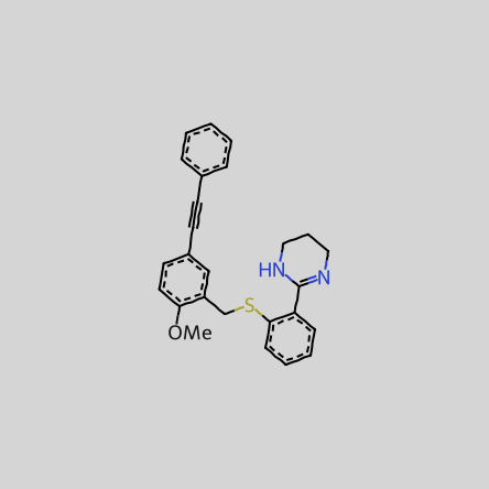 COc1ccc(C#Cc2ccccc2)cc1CSc1ccccc1C1=NCCCN1